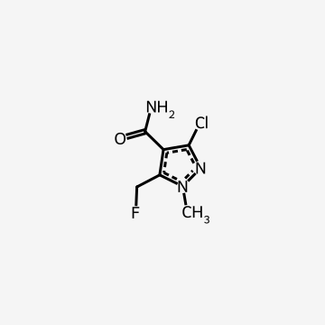 Cn1nc(Cl)c(C(N)=O)c1CF